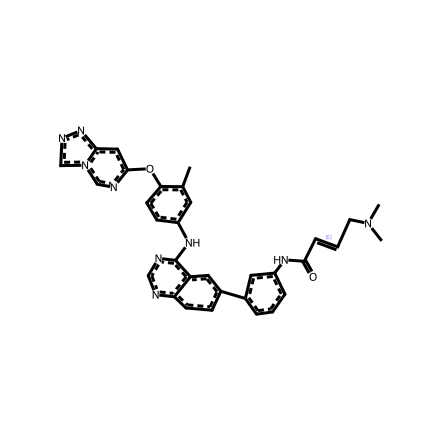 Cc1cc(Nc2ncnc3ccc(-c4cccc(NC(=O)/C=C/CN(C)C)c4)cc23)ccc1Oc1cc2nncn2cn1